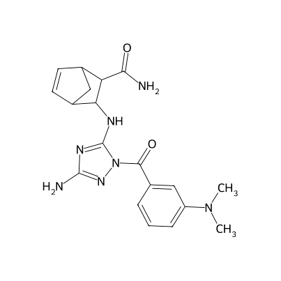 CN(C)c1cccc(C(=O)n2nc(N)nc2NC2C3C=CC(C3)C2C(N)=O)c1